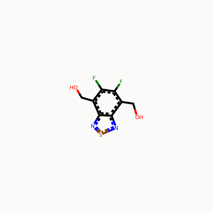 OCc1c(F)c(F)c(CO)c2nsnc12